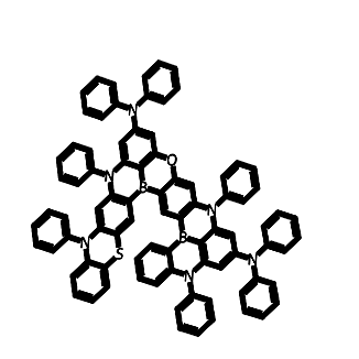 c1ccc(N(c2ccccc2)c2cc3c4c(c2)N(c2ccccc2)c2cc5c(cc2B4c2cc4c(cc2O3)N(c2ccccc2)c2cc(N(c3ccccc3)c3ccccc3)cc3c2B4c2ccccc2N3c2ccccc2)Sc2ccccc2N5c2ccccc2)cc1